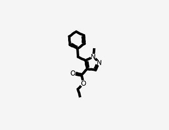 CCOC(=O)c1cnn(C)c1CC1=CCCC=C1